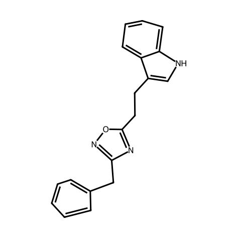 c1ccc(Cc2noc(CCc3c[nH]c4ccccc34)n2)cc1